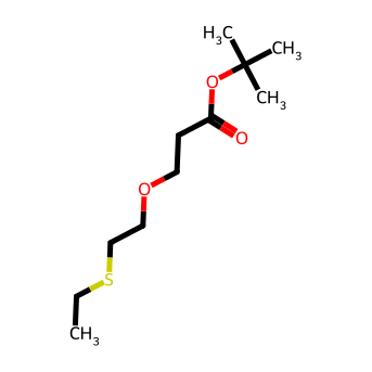 CCSCCOCCC(=O)OC(C)(C)C